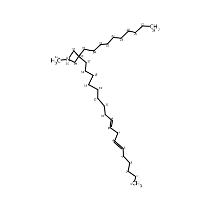 CCCCCC=CCC=CCCCCCCCCC1(CCCCCCCCCC)CN(C)C1